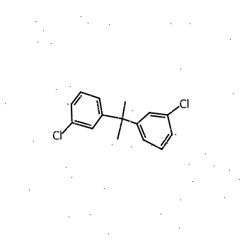 CC(C)(c1cc[c]c(Cl)c1)c1cc[c]c(Cl)c1